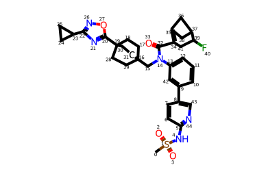 CS(=O)(=O)Nc1ccc(-c2cccc(N(CC34CCC(c5nc(C6CC6)no5)(CC3)CC4)C(=O)C3=C4CC(C4)C(F)C3)c2)cn1